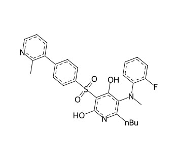 CCCCc1nc(O)c(S(=O)(=O)c2ccc(-c3cccnc3C)cc2)c(O)c1N(C)c1ccccc1F